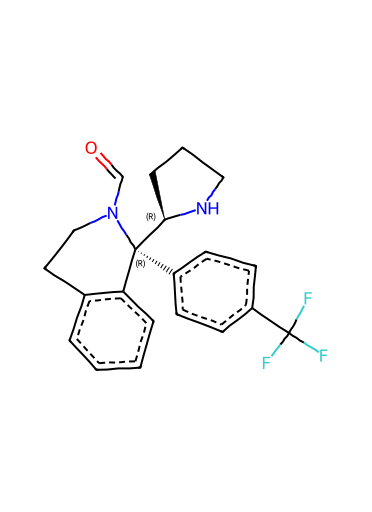 O=CN1CCc2ccccc2[C@]1(c1ccc(C(F)(F)F)cc1)[C@H]1CCCN1